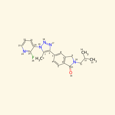 Cc1c(-c2ccc3c(c2)CN(CC(C)C)C3=O)nnn1-c1cccnc1F